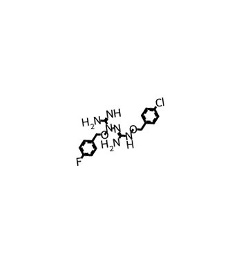 N=C(N)N(N=C(N)NOCc1ccc(Cl)cc1)OCc1ccc(F)cc1